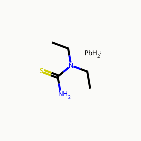 CCN(CC)C(N)=S.[PbH2]